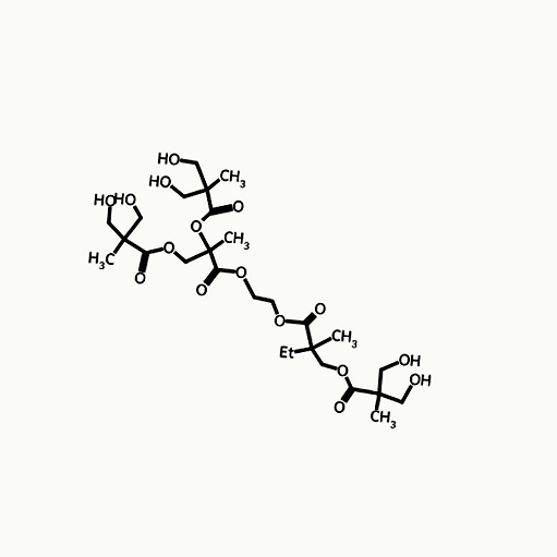 CCC(C)(COC(=O)C(C)(CO)CO)C(=O)OCCOC(=O)C(C)(COC(=O)C(C)(CO)CO)OC(=O)C(C)(CO)CO